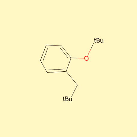 CC(C)(C)Cc1ccccc1OC(C)(C)C